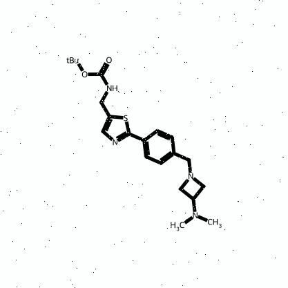 CN(C)C1CN(Cc2ccc(-c3ncc(CNC(=O)OC(C)(C)C)s3)cc2)C1